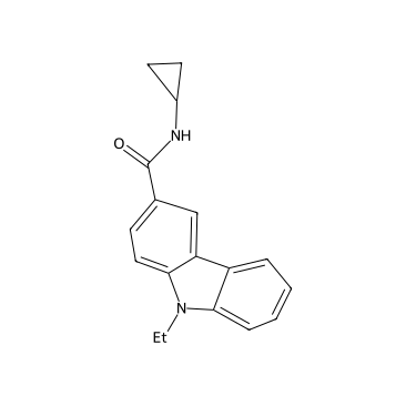 CCn1c2ccccc2c2cc(C(=O)NC3CC3)ccc21